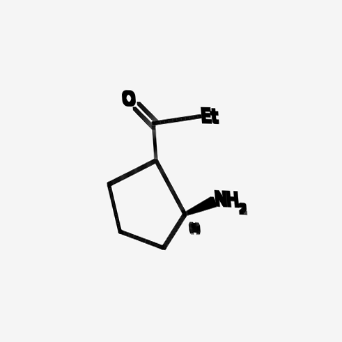 CCC(=O)C1CCC[C@@H]1N